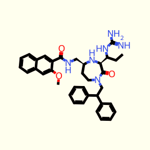 CCC(NC(=N)N)[C@@H]1N[C@H](CNC(=O)c2cc3ccccc3cc2OC)CCN(CC(c2ccccc2)c2ccccc2)C1=O